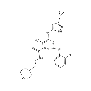 Cc1c(Nc2cc(C3CC3)n[nH]2)nc(Nc2ccccc2Cl)nc1C(=O)NCCN1CCOCC1